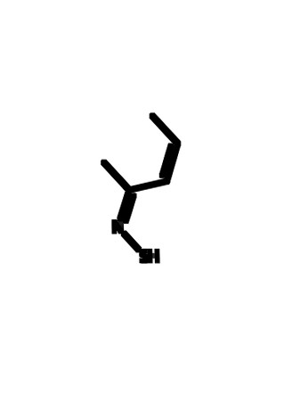 C/C=C\C(C)=N/S